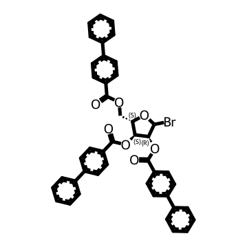 O=C(OC[C@@H]1OC(Br)[C@H](OC(=O)c2ccc(-c3ccccc3)cc2)[C@H]1OC(=O)c1ccc(-c2ccccc2)cc1)c1ccc(-c2ccccc2)cc1